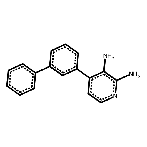 Nc1nccc(-c2cccc(-c3ccccc3)c2)c1N